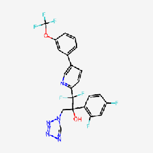 OC(Cn1cnnn1)(c1ccc(F)cc1F)C(F)(F)c1ccc(-c2cccc(OC(F)(F)F)c2)cn1